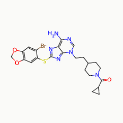 Nc1ncn(CCC2CCN(C(=O)C3CC3)CC2)c2nc(Sc3cc4c(cc3Br)OCO4)nc1-2